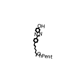 CCCCCOC(C)CCC/C=C/c1ccc(-c2cnc3cc(O)ccc3n2)cc1